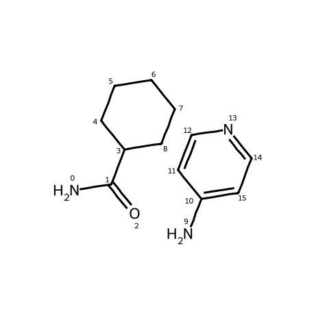 NC(=O)C1CCCCC1.Nc1ccncc1